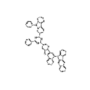 c1ccc(-c2nc(-c3ccc4c(c3)oc3c5ccccc5c(-n5c6ccccc6c6cc7ccccc7cc65)cc43)nc(-c3ccc4c5ccccc5n(-c5ccccc5)c4c3)n2)cc1